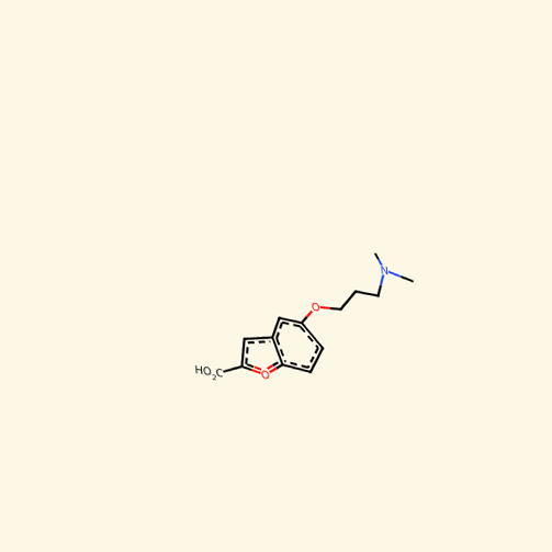 CN(C)CCCOc1ccc2oc(C(=O)O)cc2c1